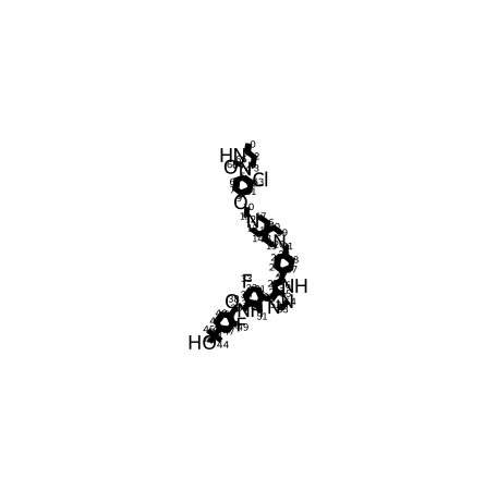 C=C1CCN(c2ccc(OCCN3CCC4(CC3)CCN(Cc3ccc(-c5cc6c(-c7cc(F)cc(NC(=O)c8ccc(C(C)(C)O)cc8F)c7C)ncnc6[nH]5)cc3)CC4)cc2Cl)C(=O)N1